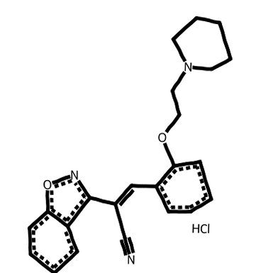 Cl.N#CC(=Cc1ccccc1OCCN1CCCCC1)c1noc2ccccc12